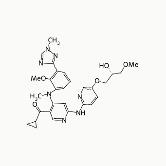 COC[C@@H](O)COc1ccc(Nc2cc(N(C)c3cccc(-c4ncn(C)n4)c3OC)c(C(=O)C3CC3)cn2)nc1